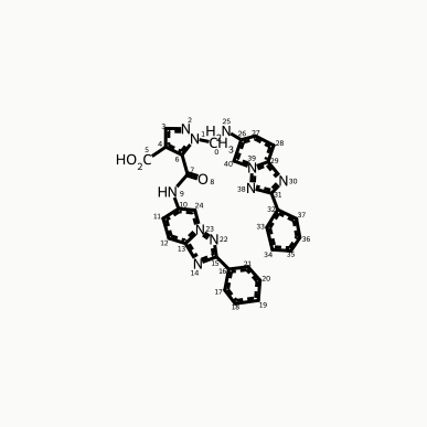 Cn1ncc(C(=O)O)c1C(=O)Nc1ccc2nc(-c3ccccc3)nn2c1.Nc1ccc2nc(-c3ccccc3)nn2c1